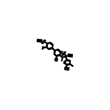 Cc1cc(C(O)(C(C)c2ccc(-c3ccc(C(=O)O)c(F)c3)cc2Cl)C(F)(F)F)sc1C#N